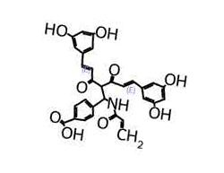 C=CC(=O)NC(c1ccc(C(=O)O)cc1)C(C(=O)/C=C/c1cc(O)cc(O)c1)C(=O)/C=C/c1cc(O)cc(O)c1